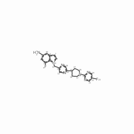 Nc1cc(F)c2c(ccn2Cc2cnc(C3CCN(c4ncc(F)cn4)CC3)cn2)c1